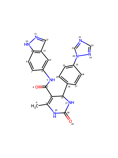 CC1=C(C(=O)Nc2ccc3[nH]ncc3c2)C(c2ccc(-n3cncn3)cc2)NC(=O)N1